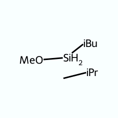 CC(C)C.CCC(C)[SiH2]OC